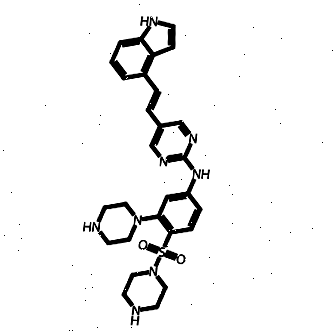 O=S(=O)(c1ccc(Nc2ncc(/C=C/c3cccc4[nH]ccc34)cn2)cc1N1CCNCC1)N1CCNCC1